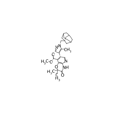 COC(=O)c1c(-c2cnn(CC34CC5CC(CC(C5)C3)C4)c2C)cnc2c1OC(C)(C)C(=O)N2